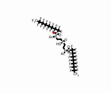 CC(=O)N(CCP(=O)(O)CCN(C(C)=O)S(=O)(=O)C(F)(F)C(F)(F)C(F)(F)C(F)(F)C(F)(F)C(F)(F)C(F)(F)C(F)(F)F)S(=O)(=O)C(F)(F)C(F)(F)C(F)(F)C(F)(F)C(F)(F)C(F)(F)C(F)(F)C(F)(F)F